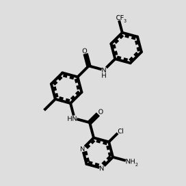 Cc1ccc(C(=O)Nc2cccc(C(F)(F)F)c2)cc1NC(=O)c1ncnc(N)c1Cl